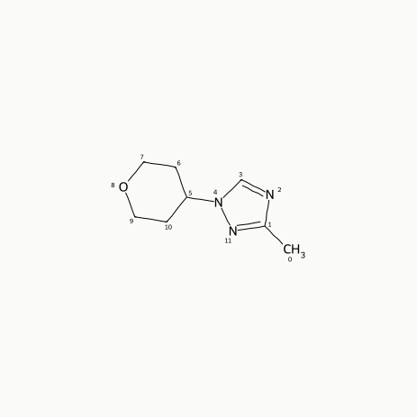 Cc1ncn(C2CCOCC2)n1